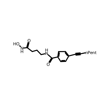 CCCCCC#Cc1ccc(C(=O)NCCCC(=O)NO)cc1